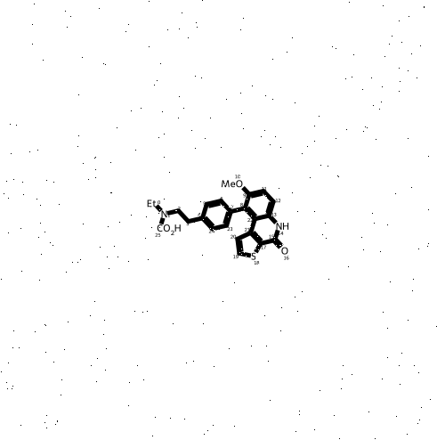 CCN(CCc1ccc(-c2c(OC)ccc3[nH]c(=O)c4sccc4c23)cc1)C(=O)O